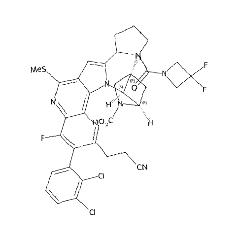 CSc1nc2c(F)c(-c3cccc(Cl)c3Cl)c(CCC#N)cc2c2c1cc(C1CCCN1C(=O)N1CC(F)(F)C1)n2[C@H]1[C@@H]2C[C@H]1N(C(=O)O)C2